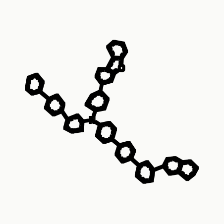 c1ccc(-c2ccc(-c3cccc(N(c4ccc(-c5ccc(-c6cccc(-c7ccc8ccccc8c7)c6)cc5)cc4)c4ccc(-c5ccc6c(c5)oc5ccccc56)cc4)c3)cc2)cc1